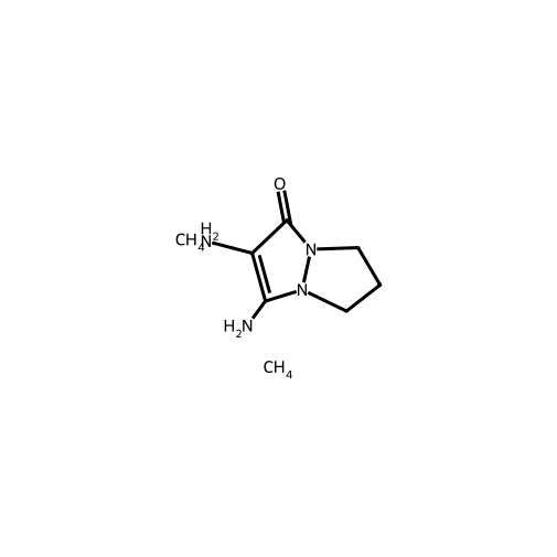 C.C.Nc1c(N)n2n(c1=O)CCC2